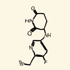 O=C1CCC(Nc2cnc(CBr)c(F)c2)C(=O)N1